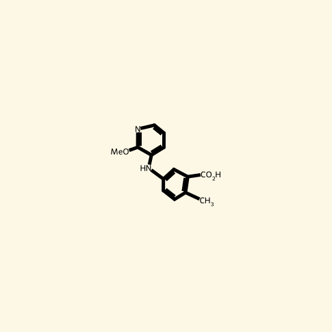 COc1ncccc1Nc1ccc(C)c(C(=O)O)c1